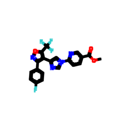 COC(=O)c1ccc(-n2cnc(-c3c(-c4ccc(F)cc4)noc3C(F)(F)F)c2)nc1